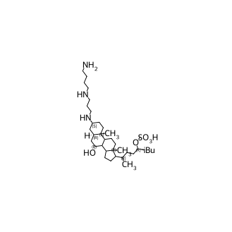 CCC(C)[C@@H](CC[C@@H](C)C1CCC2C3C(CC[C@@]21C)[C@@]1(C)CC[C@H](NCCCNCCCCN)C[C@@H]1C[C@H]3O)OS(=O)(=O)O